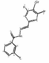 O=C(NN=Cc1cc(Br)c(O)c(Br)c1)c1cccc(Br)c1